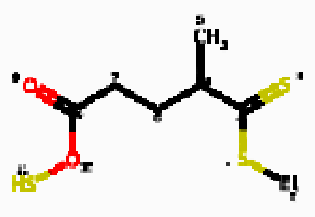 CCSC(=S)C(C)CCC(=O)OS